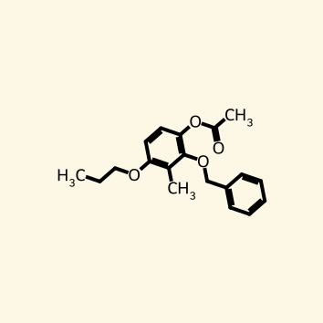 CCCOc1ccc(OC(C)=O)c(OCc2ccccc2)c1C